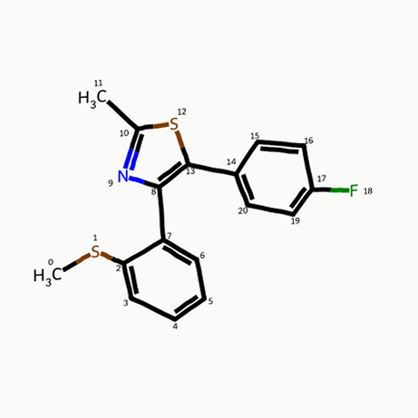 CSc1ccccc1-c1nc(C)sc1-c1ccc(F)cc1